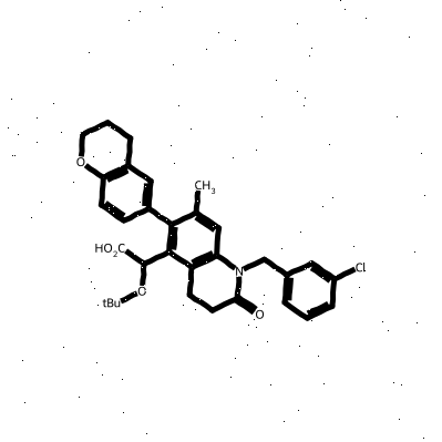 Cc1cc2c(c(C(OC(C)(C)C)C(=O)O)c1-c1ccc3c(c1)CCCO3)CCC(=O)N2Cc1cccc(Cl)c1